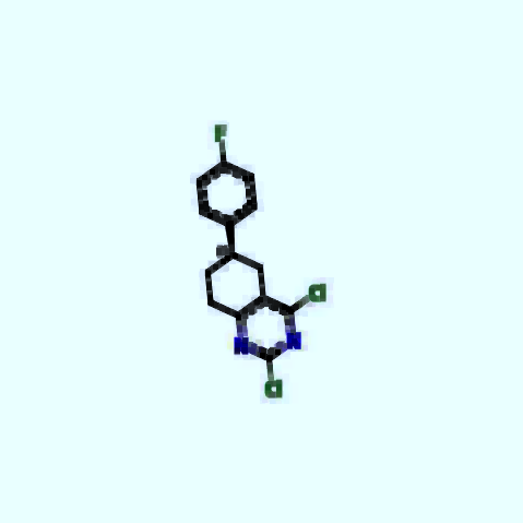 Fc1ccc([C@@H]2CCc3nc(Cl)nc(Cl)c3C2)cc1